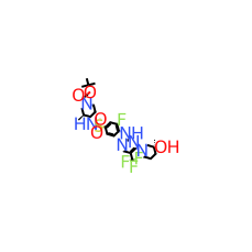 C[C@H]1CN(C(=O)OC(C)(C)C)CC[C@H]1NS(=O)(=O)c1ccc(Nc2ncc(C(F)(F)F)c(N3CCC[C@](C)(O)C3)n2)c(F)c1